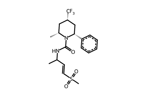 CC(/C=C/S(C)(=O)=O)NC(=O)N1[C@H](C)C[C@H](C(F)(F)F)C[C@@H]1c1ccccc1